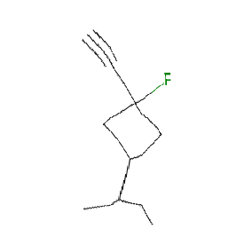 C#CC1(F)CC(C(C)C)C1